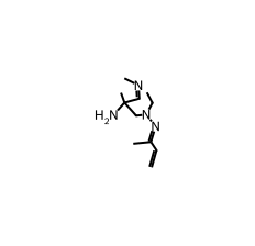 C=C/C(C)=N/N(CC)CC(C)(N)/C=N\C